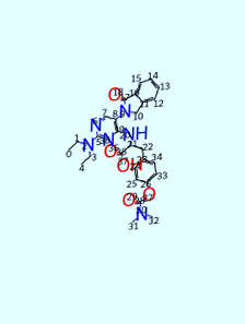 CCN(CC)c1ncc(N2Cc3ccccc3C2=O)c(N[C@@H](Cc2ccc(OC(=O)N(C)C)cc2)C(=O)O)n1